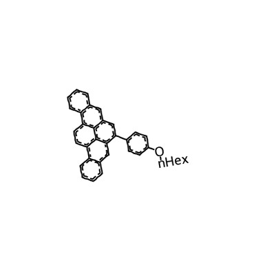 CCCCCCOc1ccc(-c2cc3cc4ccccc4c4ccc5c6ccccc6cc2c5c34)cc1